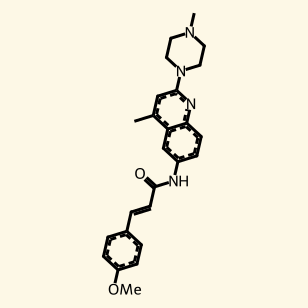 COc1ccc(/C=C/C(=O)Nc2ccc3nc(N4CCN(C)CC4)cc(C)c3c2)cc1